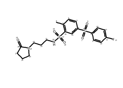 Cc1ccc(S(=O)(=O)c2ccc(F)cc2)cc1S(=O)(=O)NCCCN1CCCC1=O